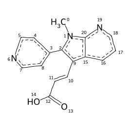 Cn1c(-c2ccncc2)c(/C=C/C(=O)O)c2cccnc21